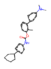 Cc1c(OC(=O)Nc2ccc(C3CCCCC3)cc2)cccc1-c1ccc(N(C)C)cc1